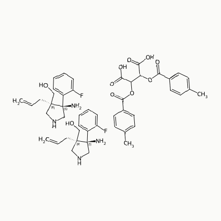 C=CC[C@@]1(CO)CNC[C@@]1(N)c1ccccc1F.C=CC[C@@]1(CO)CNC[C@@]1(N)c1ccccc1F.Cc1ccc(C(=O)OC(C(=O)O)C(OC(=O)c2ccc(C)cc2)C(=O)O)cc1